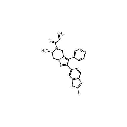 C=CC(=O)N1Cc2c(-c3ccncc3)c(-c3ccc4cc(F)sc4c3)nn2C[C@H]1C